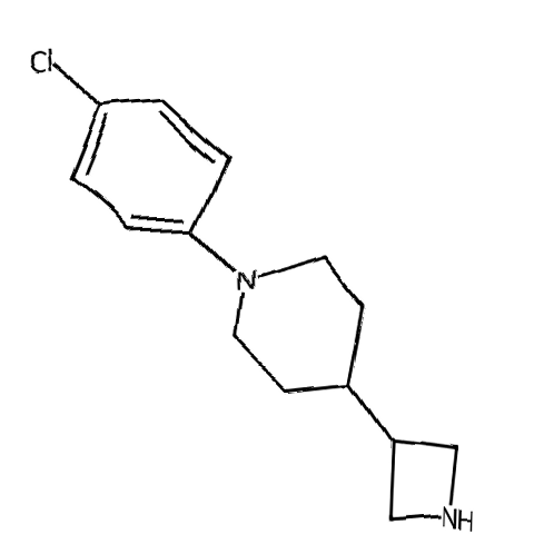 Clc1ccc(N2CCC(C3CNC3)CC2)cc1